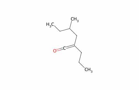 CCCC(=C=O)CC(C)CC